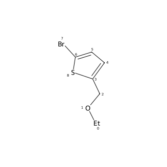 CCOCc1ccc(Br)s1